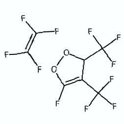 FC(F)=C(F)F.FC1=C(C(F)(F)F)C(C(F)(F)F)OO1